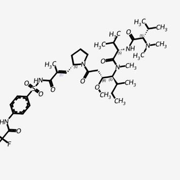 CCC(C)[C@@H]([C@@H](CC(=O)N1CCC[C@H]1/C=C(\C)C(=O)NS(=O)(=O)c1ccc(NC(=O)C(F)(F)F)cc1)OC)N(C)C(=O)[C@@H](NC(=O)[C@H](C(C)C)N(C)C)C(C)C